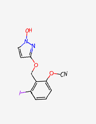 N#COc1cccc(I)c1COc1ccn(O)n1